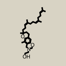 CC(C)=CCCC(C)=CCCC(C)=CCCC1(C)CCc2cc3c(c(C)c2O1)CN(CCO)CO3